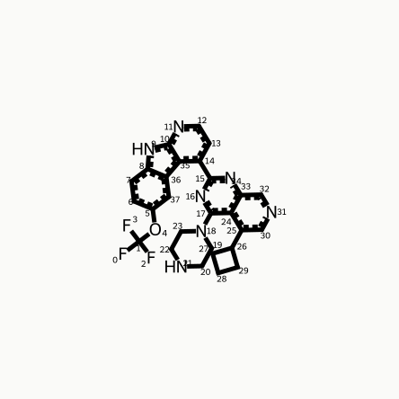 FC(F)(F)Oc1ccc2[nH]c3nccc(-c4nc(N5CCNCC5)c5c(C6CCC6)cncc5n4)c3c2c1